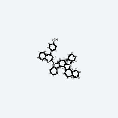 N#Cc1ccc(-c2nc(-n3c4ccccc4c4c5c6ccc7ccccc7c6n6c7ccccc7c(cc43)c56)nc3ncccc23)cc1